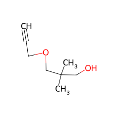 C#CCOCC(C)(C)CO